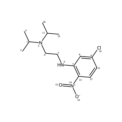 CC(C)N(CCNc1cc(Cl)ccc1[N+](=O)[O-])C(C)C